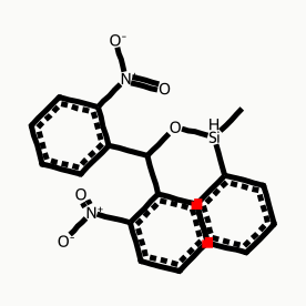 C[SiH](OC(c1ccccc1[N+](=O)[O-])c1ccccc1[N+](=O)[O-])c1ccccc1